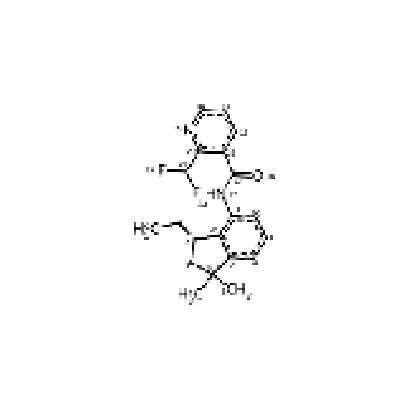 CC[C@@H]1CC(C)(C)c2cccc(NC(=O)c3cccnc3C(F)F)c21